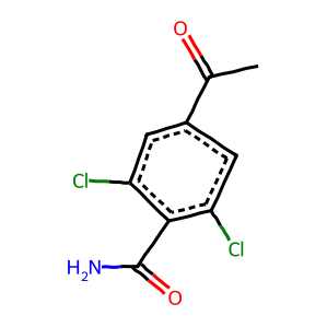 CC(=O)c1cc(Cl)c(C(N)=O)c(Cl)c1